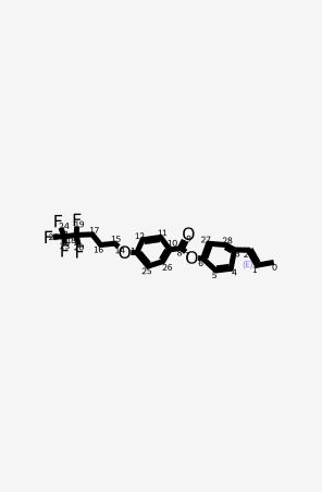 C/C=C/c1ccc(OC(=O)c2ccc(OCCCC(F)(F)C(F)(F)F)cc2)cc1